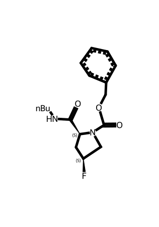 CCCCNC(=O)[C@@H]1C[C@H](F)CN1C(=O)OCc1ccccc1